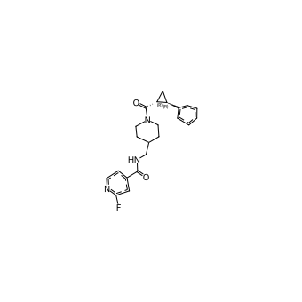 O=C(NCC1CCN(C(=O)[C@@H]2C[C@H]2c2ccccc2)CC1)c1ccnc(F)c1